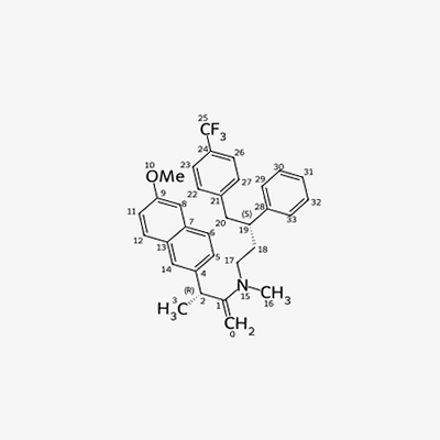 C=C([C@H](C)c1ccc2cc(OC)ccc2c1)N(C)CC[C@H](Cc1ccc(C(F)(F)F)cc1)c1ccccc1